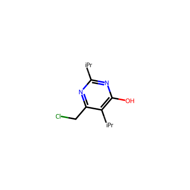 CC(C)c1nc(O)c(C(C)C)c(CCl)n1